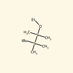 CCO[Si](C)(C)[Si](C)(C)C(C)(C)C